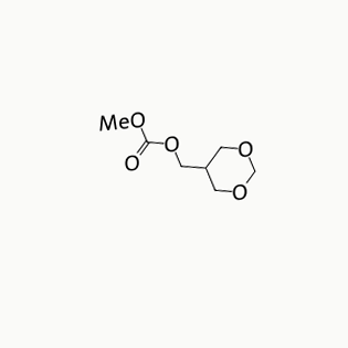 COC(=O)OCC1COCOC1